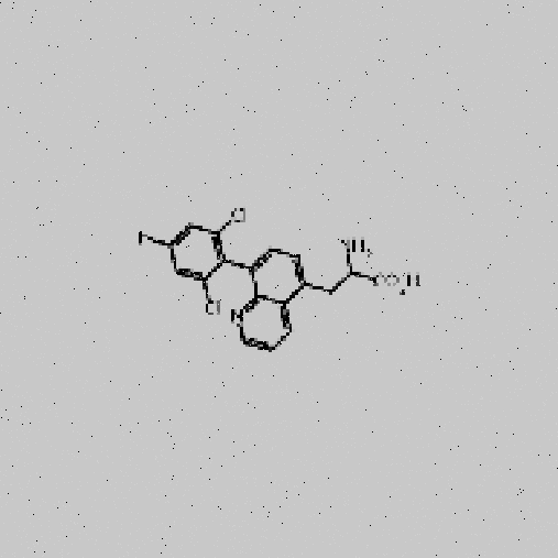 NC(Cc1ccc(-c2c(Cl)cc(F)cc2Cl)c2ncccc12)C(=O)O